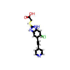 O=C(O)CSc1nc2cc(C#Cc3ccncc3)c(Cl)cc2[nH]1